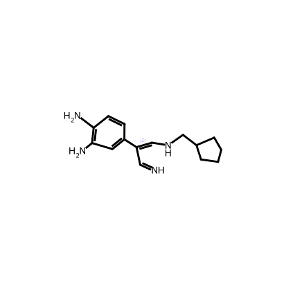 N=C/C(=C\NCC1CCCC1)c1ccc(N)c(N)c1